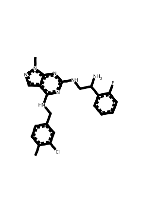 Cc1ccc(CNc2nc(NCC(N)c3ccccc3F)nc3c2cnn3C)cc1Cl